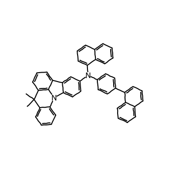 CC1(C)c2ccccc2-n2c3ccc(N(c4ccc(-c5cccc6ccccc56)cc4)c4cccc5ccccc45)cc3c3cccc1c32